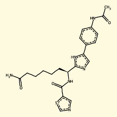 CC(=O)Nc1ccc(-c2cnc([C@H](CCCCCC(N)=O)NC(=O)c3cncs3)[nH]2)cc1